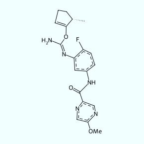 COc1cnc(C(=O)Nc2ccc(F)c(/N=C(/N)OC3=CCC[C@@H]3C)c2)cn1